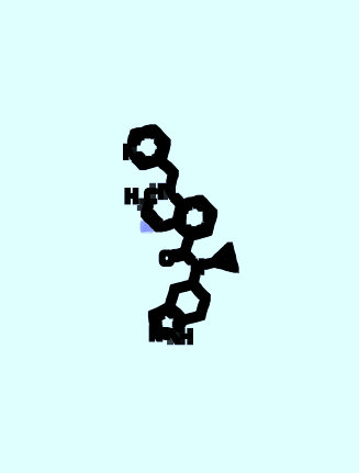 C/C=C\c1c(NCc2cccnc2)cccc1C(=O)N(C1CC1)C1CCc2[nH]ncc2C1